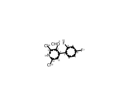 O=Cc1c(-c2ccc(F)cc2F)cc(Cl)nc1Cl